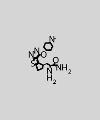 CN(C)[C@H]1CC[C@H](Oc2ncnc3sc4c(c23)[C@@H](CC(N)C(N)=O)CC4)CC1